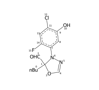 CCCCC1(C=O)OC=NN1c1cc(O)c(Cl)cc1F